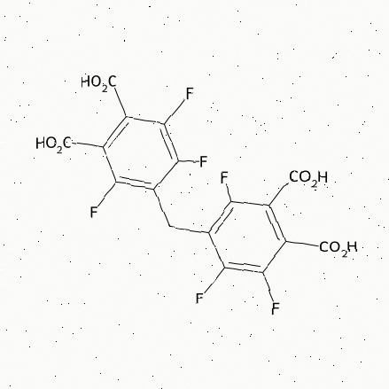 O=C(O)c1c(F)c(F)c(Cc2c(F)c(F)c(C(=O)O)c(C(=O)O)c2F)c(F)c1C(=O)O